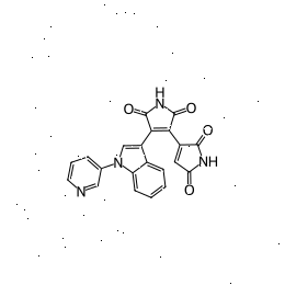 O=C1C=C(C2=C(c3cn(-c4cccnc4)c4ccccc34)C(=O)NC2=O)C(=O)N1